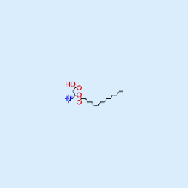 CCCCCCCC/C=C\CCCC(=O)O[C@H](CC(=O)O)C[N+](C)(C)C